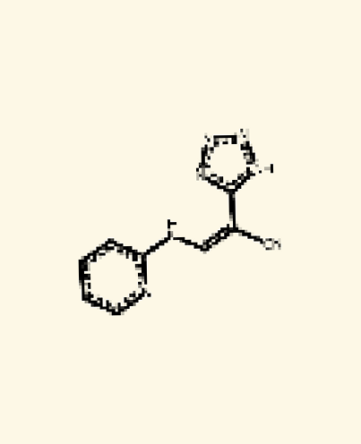 N#CC(=CNc1ccccn1)c1nnn[nH]1